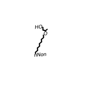 CCCCCCCCCCCCCCCCCCOC(C)CCO